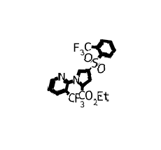 CCOC(=O)C1C[C@@H](S(=O)(=O)c2ccccc2C(F)(F)F)CN1c1ncccc1C(F)(F)F